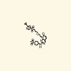 CS(=O)(=O)N1CCC(Nc2ncc3ccc(=O)n(CCOCCCS(=O)(=O)n4cnc(C5CC5)n4)c3n2)CC1